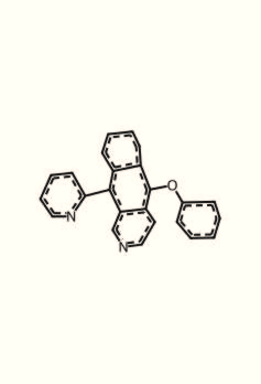 c1ccc(Oc2c3ccccc3c(-c3ccccn3)c3cnccc23)cc1